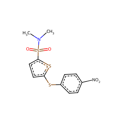 CN(C)S(=O)(=O)c1ccc(Sc2ccc([N+](=O)[O-])cc2)s1